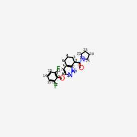 O=C(C1CCCc2cc(Oc3c(F)cccc3F)nnc21)N1CCCC1